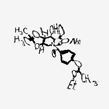 CCOC(C)Oc1ccc(S(=O)(=O)N2C[C@@H]3OC(C)(C)O[C@H]3[C@H](O)[C@@H]2C(=O)OC)cc1